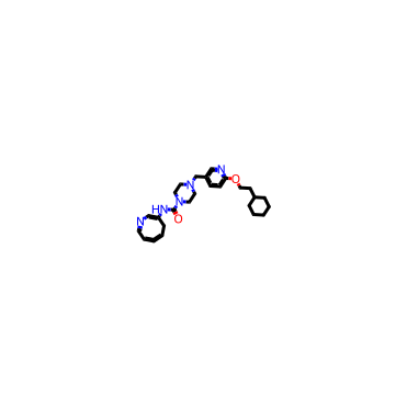 O=C(N/C1=C/N=C\C=C=CC1)N1CCN(Cc2ccc(OCCC3CCCCC3)nc2)CC1